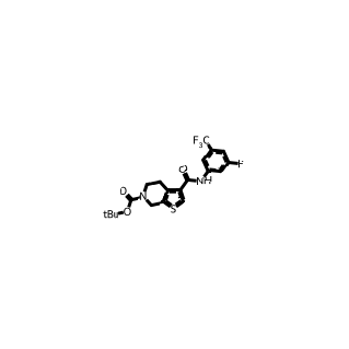 CC(C)(C)OC(=O)N1CCc2c(C(=O)Nc3cc(F)cc(C(F)(F)F)c3)csc2C1